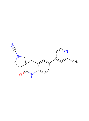 Cc1cc(-c2ccc3c(c2)CC2(CCN(C#N)C2)C(=O)N3)ccn1